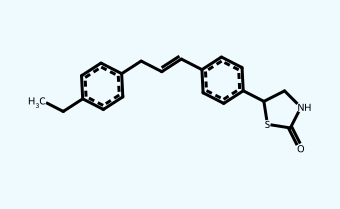 CCc1ccc(CC=Cc2ccc(C3CNC(=O)S3)cc2)cc1